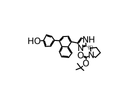 CC(C)(C)OC(=O)N1CCC[C@H]1c1nc(-c2ccc(-c3ccc(O)cc3)c3ccccc23)c[nH]1